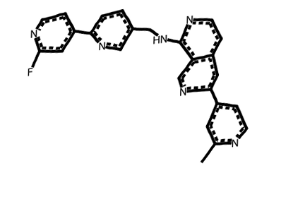 Cc1cc(-c2cc3ccnc(NCc4ccc(-c5ccnc(F)c5)nc4)c3cn2)ccn1